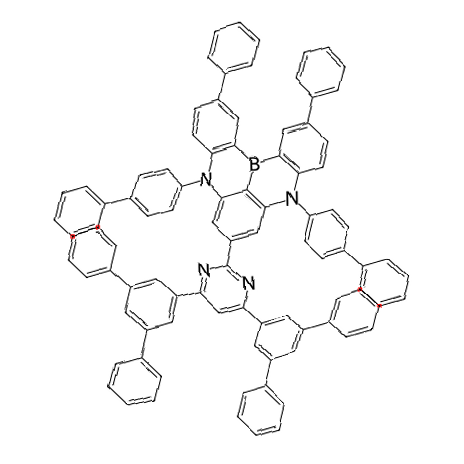 c1ccc(-c2ccc(N3c4ccc(-c5ccccc5)cc4B4c5cc(-c6ccccc6)ccc5N(c5ccc(-c6ccccc6)cc5)c5cc(-c6nc(-c7cc(-c8ccccc8)cc(-c8ccccc8)c7)cc(-c7cc(-c8ccccc8)cc(-c8ccccc8)c7)n6)cc3c54)cc2)cc1